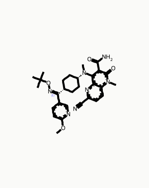 COc1ccc(/C(=N/OC(C)(C)C)[C@H]2CC[C@@H](N(C)c3c(C(N)=O)c(=O)n(C)c4ccc(C#N)nc34)CC2)cn1